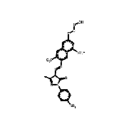 CC1=NN(c2ccc(S(=O)(=O)O)cc2)C(=O)C1N=Nc1cc2c(S(=O)(=O)O)cc(SOOO)cc2cc1S(=O)(=O)O